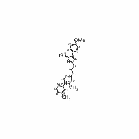 COc1ccc(-c2cc(CCCN3CCN(c4cccc(C)c4)C(C)C3)nn2C(C)(C)C)cc1